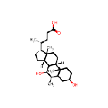 C[C@H](CCC(=O)O)[C@H]1CC[C@H]2C3[C@H](O)[C@H](C)C4C[C@H](O)CCC4(C)[C@H]3CCC12C